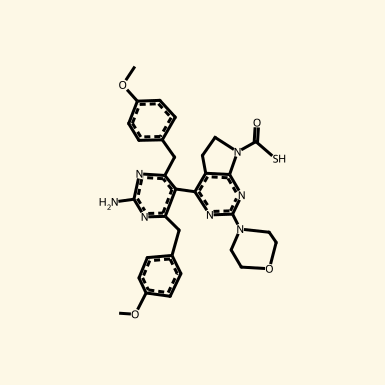 COc1ccc(Cc2nc(N)nc(Cc3ccc(OC)cc3)c2-c2nc(N3CCOCC3)nc3c2CCN3C(=O)S)cc1